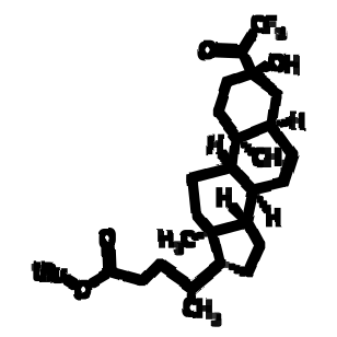 C[C@H](CCC(=O)OC(C)(C)C)[C@H]1CC[C@H]2[C@@H]3CC[C@@H]4C[C@@](O)(C(=O)C(F)(F)F)CC[C@]4(C)[C@H]3CC[C@]12C